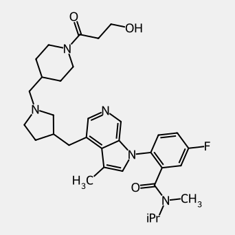 Cc1cn(-c2ccc(F)cc2C(=O)N(C)C(C)C)c2cncc(CC3CCN(CC4CCN(C(=O)CCO)CC4)C3)c12